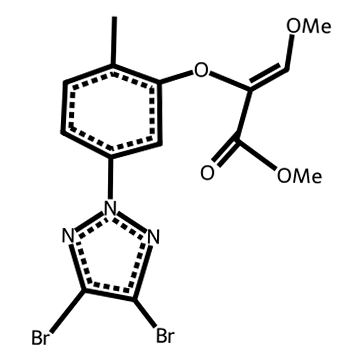 CO/C=C(\Oc1cc(-n2nc(Br)c(Br)n2)ccc1C)C(=O)OC